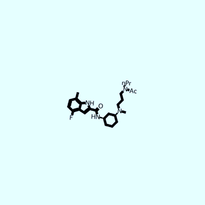 CCCN(CCCN(C)[C@H]1CCC[C@@H](NC(=O)c2cc3c(F)ccc(C)c3[nH]2)C1)C(C)=O